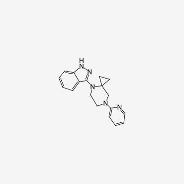 c1ccc(N2CCN(c3n[nH]c4ccccc34)C3(CC3)C2)nc1